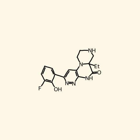 CCC12CNCCN1c1cc(-c3cccc(F)c3O)nnc1NC2=O